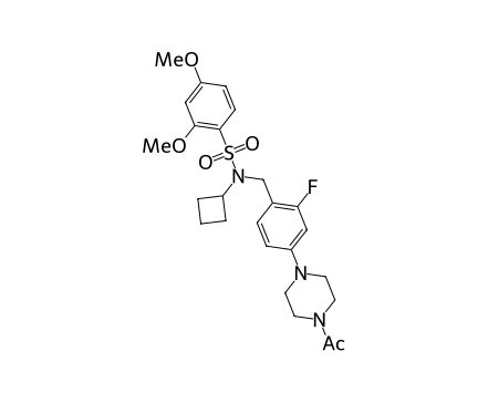 COc1ccc(S(=O)(=O)N(Cc2ccc(N3CCN(C(C)=O)CC3)cc2F)C2CCC2)c(OC)c1